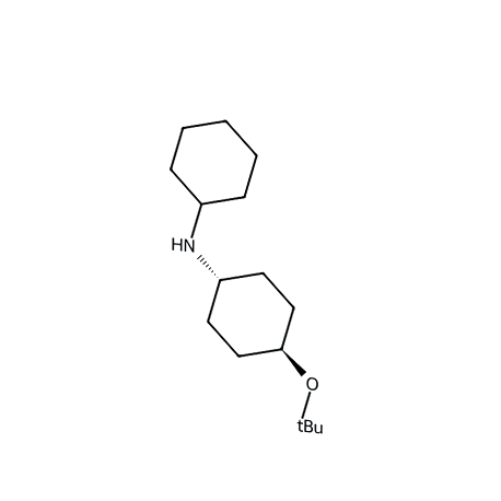 CC(C)(C)O[C@H]1CC[C@H](NC2CCCCC2)CC1